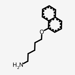 NCCCCCOc1cccc2ccccc12